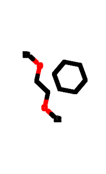 C1CCCCC1.CCOCCOCC